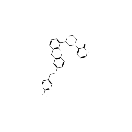 CNc1ncc(CNc2ccc3c(c2)Cc2cccc(C4CN(c5ccc[nH]c5=O)CCO4)c2O3)cn1